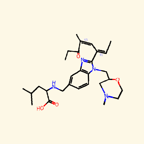 C/C=C(\C=C(\C)C(=O)CC)c1nc2cc(CNC(CC(C)C)C(=O)O)ccc2n1CC1CN(C)CCO1